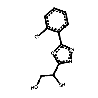 OCC(S)c1nnc(-c2ccccc2Cl)o1